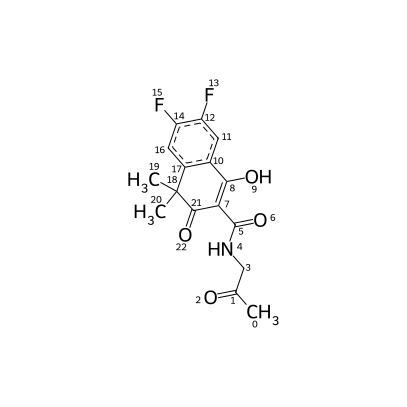 CC(=O)CNC(=O)C1=C(O)c2cc(F)c(F)cc2C(C)(C)C1=O